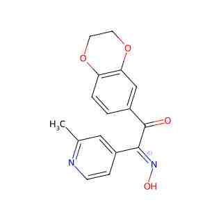 Cc1cc(/C(=N\O)C(=O)c2ccc3c(c2)OCCO3)ccn1